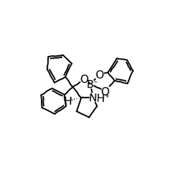 c1ccc(C2(c3ccccc3)O[B-]3(Oc4ccccc4O3)[NH+]3CCC[C@H]32)cc1